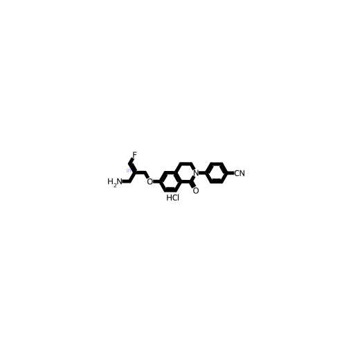 Cl.N#Cc1ccc(N2CCc3cc(OC/C(=C\F)CN)ccc3C2=O)cc1